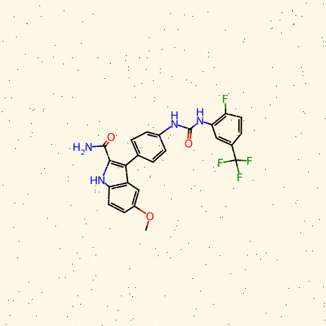 COc1ccc2[nH]c(C(N)=O)c(-c3ccc(NC(=O)Nc4cc(C(F)(F)F)ccc4F)cc3)c2c1